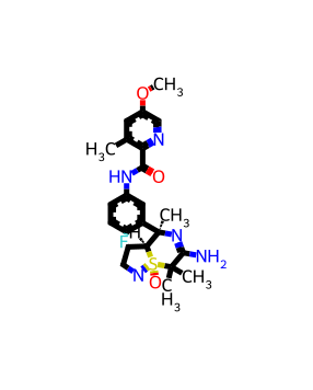 COc1cnc(C(=O)Nc2ccc(F)c([C@@]3(C)N=C(N)C(C)(C)S4(=O)=NCC[C@@H]34)c2)c(C)c1